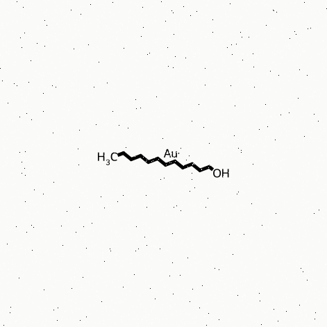 CCCCCCCCCCCCO.[Au]